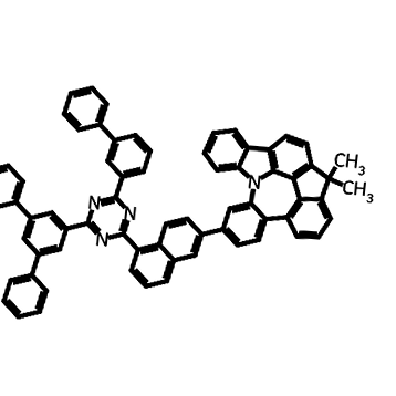 CC1(C)c2cccc3c2-c2c1ccc1c4ccccc4n(c21)-c1cc(-c2ccc4c(-c5nc(-c6cccc(-c7ccccc7)c6)nc(-c6cc(-c7ccccc7)cc(-c7ccccc7)c6)n5)cccc4c2)ccc1-3